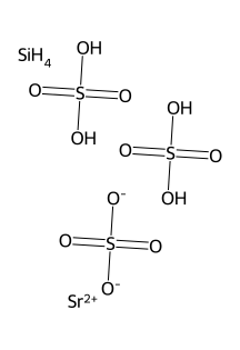 O=S(=O)(O)O.O=S(=O)(O)O.O=S(=O)([O-])[O-].[SiH4].[Sr+2]